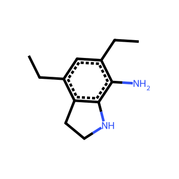 CCc1cc(CC)c2c(c1N)NCC2